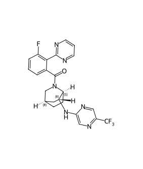 O=C(c1cccc(F)c1-c1ncccn1)N1C[C@@H]2CC[C@H]1[C@H](Nc1cnc(C(F)(F)F)cn1)C2